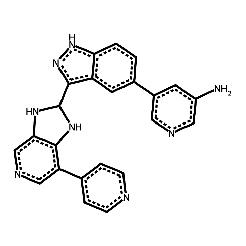 Nc1cncc(-c2ccc3[nH]nc(C4Nc5cncc(-c6ccncc6)c5N4)c3c2)c1